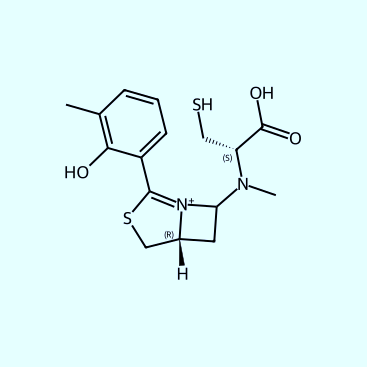 Cc1cccc(C2=[N+]3C(N(C)[C@H](CS)C(=O)O)C[C@@H]3CS2)c1O